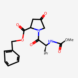 COC(=O)N[C@H](C(=O)N1CC(=O)CC1C(=O)OCc1ccccc1)C(C)C